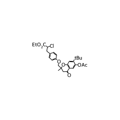 CCOC(=O)C(Cl)Cc1ccc(OCC2(C)CC(=O)c3cc(OC(C)=O)c(C(C)(C)C)cc3O2)cc1